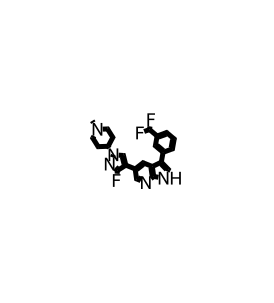 CN1CCC(n2cc(-c3cnc4[nH]cc(-c5cccc(C(F)F)c5)c4c3)c(F)n2)CC1